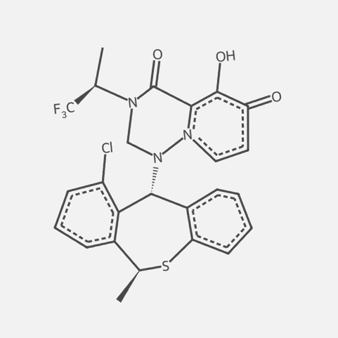 C[C@@H]1Sc2ccccc2[C@@H](N2CN([C@H](C)C(F)(F)F)C(=O)c3c(O)c(=O)ccn32)c2c(Cl)cccc21